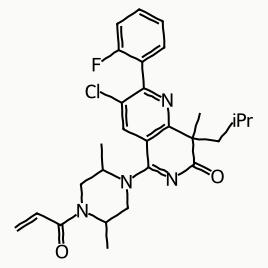 C=CC(=O)N1CC(C)N(C2=NC(=O)C(C)(CC(C)C)c3nc(-c4ccccc4F)c(Cl)cc32)CC1C